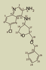 Nc1cnc2ccc(Cl)cc2c1NC1CCOC(COCc2ccccc2)C1